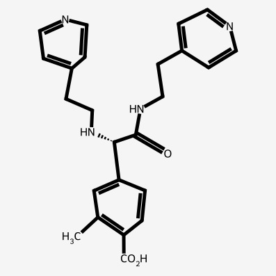 Cc1cc([C@H](NCCc2ccncc2)C(=O)NCCc2ccncc2)ccc1C(=O)O